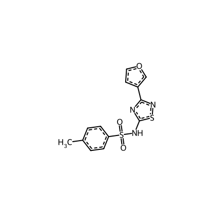 Cc1ccc(S(=O)(=O)Nc2nc(-c3ccoc3)ns2)cc1